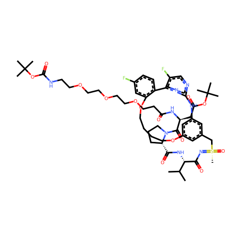 CC(C)[C@H](NC(=O)[C@@H]1CCCN1C(=O)[C@H](CC(=O)OC(C)(C)C)NC(=O)CCOCCOCCOCCNC(=O)OC(C)(C)C)C(=O)N=[S@](C)(=O)Cc1cc2cc(c1)OCCCCOc1cc(F)ccc1-c1nc(ncc1F)N2